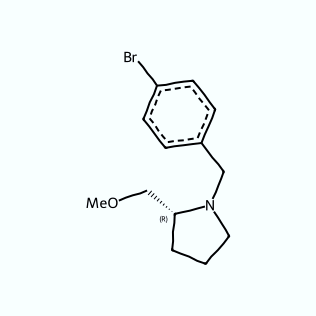 COC[C@H]1CCCN1Cc1ccc(Br)cc1